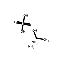 CCO.N.N.O=S(=O)(O)O